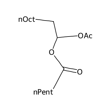 CCCCCCCCCC(OC(C)=O)OC(=O)CCCCC